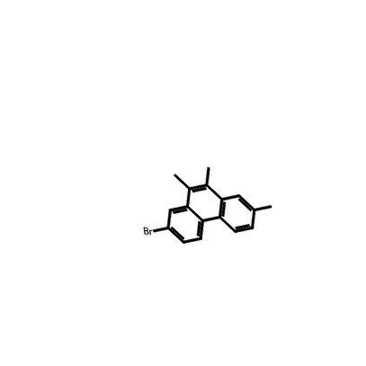 Cc1ccc2c(c1)c(C)c(C)c1cc(Br)ccc12